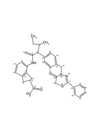 CCC(C)C(C(=O)Nc1cccc2c1CC(C(=O)O)C2)c1ccc(CN2N=C(c3ccccc3)OCC2=O)cc1